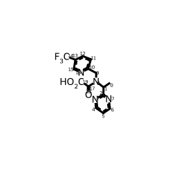 CC(c1ncccn1)N(Cc1ccc(C(F)(F)F)cn1)C(=O)C(=O)O